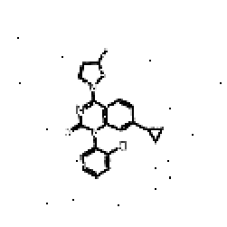 CC1CCN(c2nc(=O)n(-c3ccccc3Cl)c3cc(C4CC4)ccc23)C1